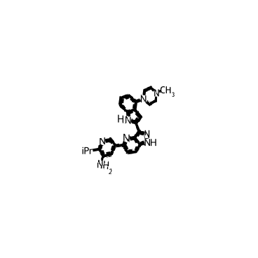 CC(C)c1ncc(-c2ccc3[nH]nc(-c4cc5c(N6CCN(C)CC6)cccc5[nH]4)c3n2)cc1N